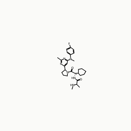 CNC(C)C(=O)N[C@H](C(=O)N1CCCC1c1cc(N(C)c2ccc(F)cc2)nc(C)n1)C1CCCCC1